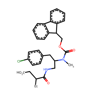 CCC(CC(=O)O)C(=O)NCC(Cc1ccc(Cl)cc1)N(C)C(=O)OCC1c2ccccc2-c2ccccc21